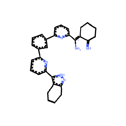 N=C1CCCC/C1=C(/N)c1cccc(-c2cccc(-c3cccc(-c4[nH]nc5c4CCCC5)n3)c2)n1